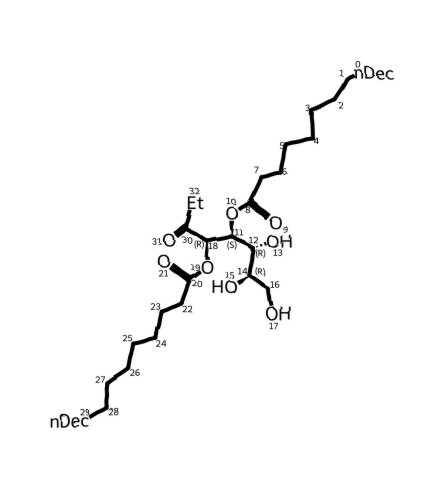 CCCCCCCCCCCCCCCCCC(=O)O[C@@H]([C@H](O)[C@H](O)CO)[C@@H](OC(=O)CCCCCCCCCCCCCCCCC)C(=O)CC